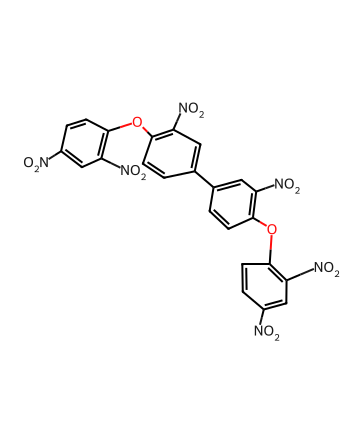 O=[N+]([O-])c1ccc(Oc2ccc(-c3ccc(Oc4ccc([N+](=O)[O-])cc4[N+](=O)[O-])c([N+](=O)[O-])c3)cc2[N+](=O)[O-])c([N+](=O)[O-])c1